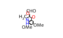 COc1cc2c(cc1OC)C(=O)C(=COC=O)C(C)N2